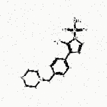 Cc1c(-c2ccc(CN3CCOCC3)cc2)ccn1S(N)(=O)=O